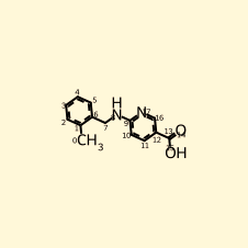 Cc1ccccc1CNc1ccc(C(=O)O)cn1